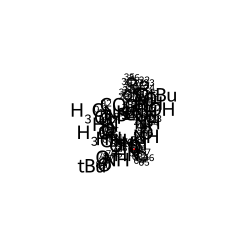 C[C@@H](O)[C@H](NC(=O)[C@@H]1CSSC[C@H](NC(=O)[C@@H](CSC(c2ccccc2)(c2ccccc2)c2ccccc2)NC(=O)OC(C)(C)C)C(=O)N[C@@H](Cc2ccc(O)cc2)C(=O)N[C@H](Cc2c[nH]c3ccccc23)C(=O)N[C@@H](CCCCNC(=O)OC(C)(C)C)C(=O)N[C@@H]([C@@H](C)O)C(=O)N1)C(=O)O